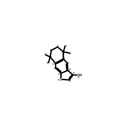 CC1(C)CCC(C)(C)c2cc3c(O)csc3cc21